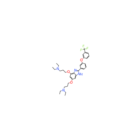 CCN(CC)CCCOc1cc(OCCCN(CC)CC)c2nc(-c3cccc(Oc4cccc(C(F)(F)F)c4)c3)[nH]c2c1